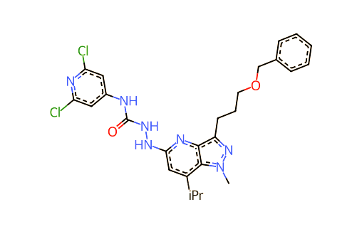 CC(C)c1cc(NNC(=O)Nc2cc(Cl)nc(Cl)c2)nc2c(CCCOCc3ccccc3)nn(C)c12